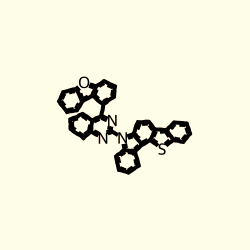 c1ccc2c(-c3cccc4oc5ccccc5c34)nc(-n3c4ccccc4c4c5sc6ccccc6c5ccc43)nc2c1